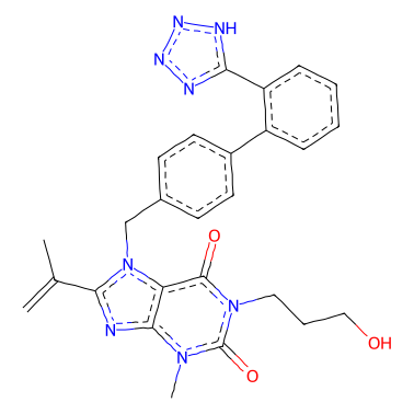 C=C(C)c1nc2c(c(=O)n(CCCO)c(=O)n2C)n1Cc1ccc(-c2ccccc2-c2nnn[nH]2)cc1